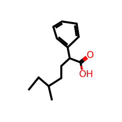 CCC(C)CCC(C(=O)O)c1ccccc1